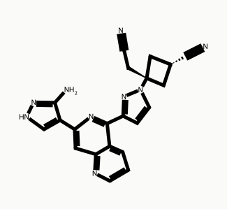 N#CC[C@]1(n2ccc(-c3nc(-c4c[nH]nc4N)cc4ncccc34)n2)C[C@@H](C#N)C1